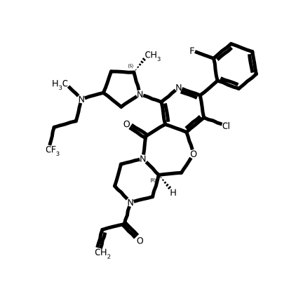 C=CC(=O)N1CCN2C(=O)c3c(N4CC(N(C)CCC(F)(F)F)C[C@@H]4C)nc(-c4ccccc4F)c(Cl)c3OC[C@H]2C1